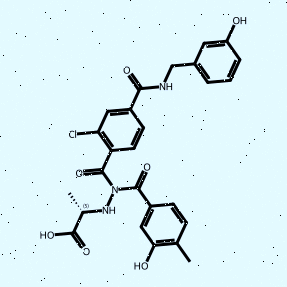 Cc1ccc(C(=O)N(N[C@@H](C)C(=O)O)C(=O)c2ccc(C(=O)NCc3cccc(O)c3)cc2Cl)cc1O